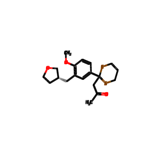 COc1ccc(C2(CC(C)=O)SCCCS2)cc1C[C@@H]1CCOC1